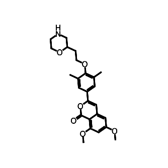 COc1cc(OC)c2c(=O)oc(-c3cc(C)c(OCCC4CNCCO4)c(C)c3)cc2c1